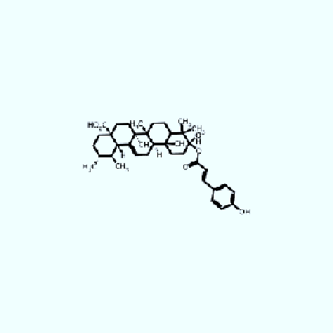 C[C@H]1[C@H](C)CC[C@]2(C(=O)O)CC[C@]3(C)C(=CC[C@@H]4[C@@]5(C)CC[C@@](O)(OC(=O)C=Cc6ccc(O)cc6)C(C)(C)C5CC[C@]43C)[C@H]12